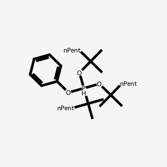 CCCCCC(C)(C)O[PH](Oc1ccccc1)(OC(C)(C)CCCCC)C(C)(C)CCCCC